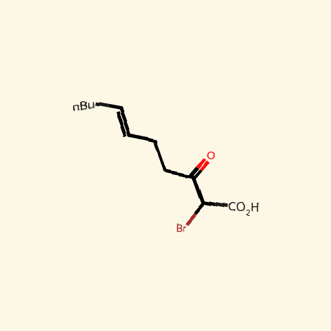 CCCCC=CCCC(=O)C(Br)C(=O)O